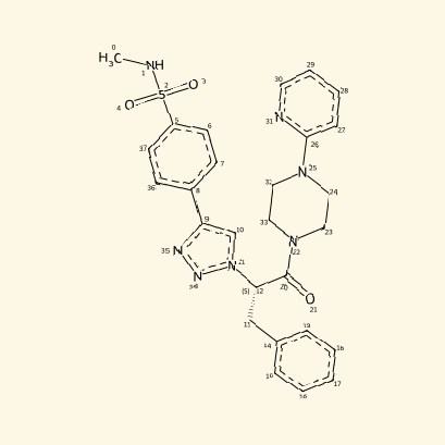 CNS(=O)(=O)c1ccc(-c2cn([C@@H](Cc3ccccc3)C(=O)N3CCN(c4ccccn4)CC3)nn2)cc1